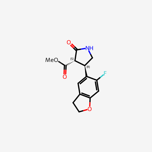 COC(=O)[C@@H]1C(=O)NC[C@H]1c1cc2c(cc1F)OCC2